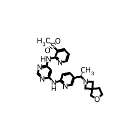 C[C@@H](c1ccc(Nc2cc(Nc3ncccc3S(C)(=O)=O)ncn2)nc1)N1CC2(CCOC2)C1